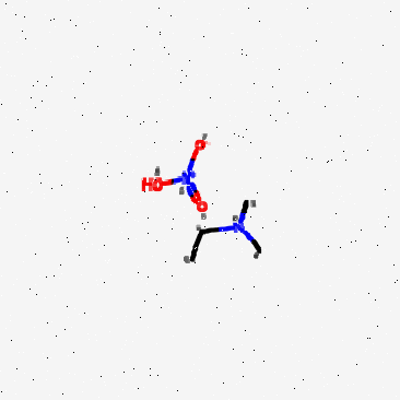 CCN(C)C.O=[N+]([O-])O